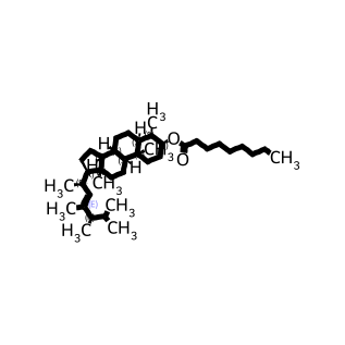 CCCCCCCCC(=O)O[C@H]1CC[C@@]2(C)[C@@H](CC[C@@H]3[C@@H]2CC[C@]2(C)[C@@H]([C@H](C)/C=C(\C)[C@H](C)C(C)C)CC[C@@H]32)[C@@H]1C